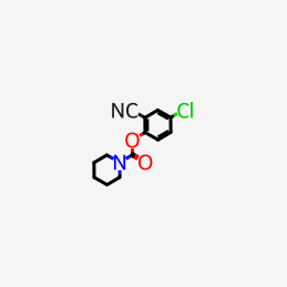 N#Cc1cc(Cl)ccc1OC(=O)N1CCCCC1